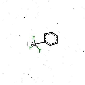 F[AsH](F)(F)c1ccccc1